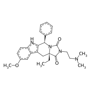 CC[C@@]12Cc3c([nH]c4ccc(OC)cc34)[C@@H](c3ccccc3)N1C(=O)N(CCN(C)C)C2=O